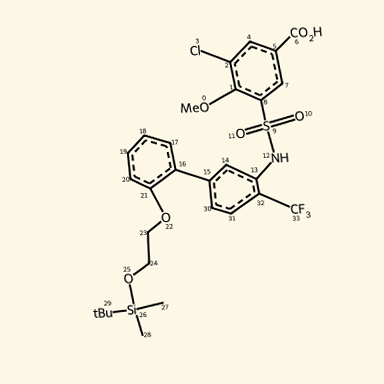 COc1c(Cl)cc(C(=O)O)cc1S(=O)(=O)Nc1cc(-c2ccccc2OCCO[Si](C)(C)C(C)(C)C)ccc1C(F)(F)F